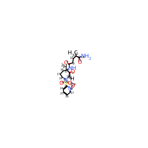 [2H][C@H]1C(=O)[C@]([2H])(NC(=O)[CH]CC(C)C(N)=O)CCCN1S(=O)(=O)c1cccc[n+]1[O-]